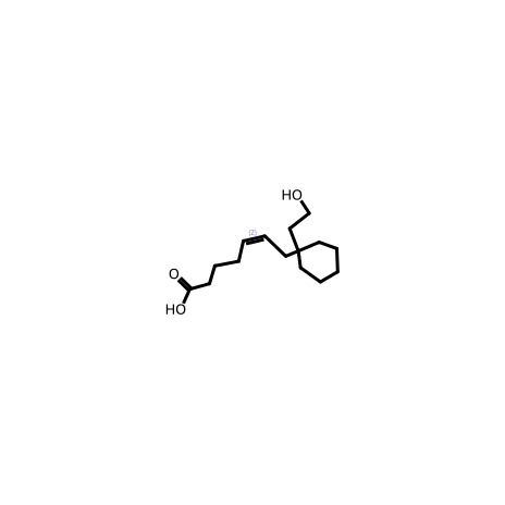 O=C(O)CCC/C=C\CC1(CCO)CCCCC1